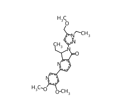 CCC1c2nc(-c3cnc(OC)c(OC)c3)ccc2C(=O)N1c1cc(COC)n(CC)n1